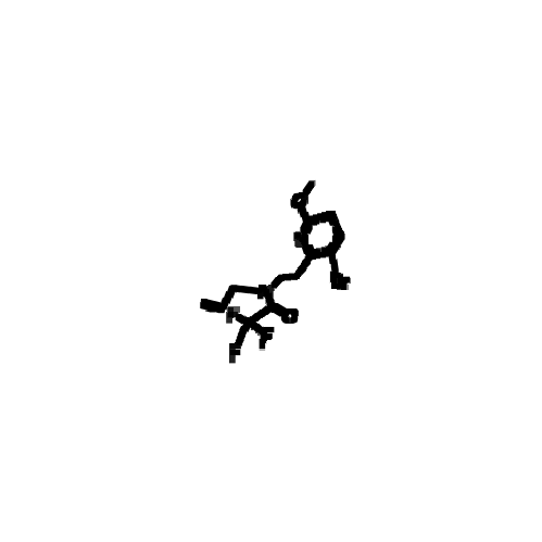 C=CCN(CCc1nc(OC)ccc1Br)C(=O)C(F)(F)F